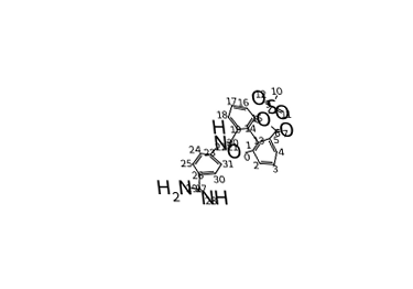 Cc1cccc(C(=O)OS(C)(=O)=O)c1-c1ccccc1C(=O)Nc1ccc(C(=N)N)cc1